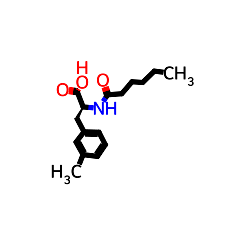 CCCCCC(=O)N[C@@H](Cc1cccc(C)c1)C(=O)O